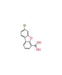 OB(O)c1cccc2c1oc1cc(Br)ccc12